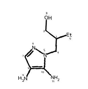 CCC(CO)Cn1ncc(N)c1N